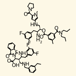 CCCN(CCC)C(=O)c1cc(C)cc(C(=O)O[C@H](CNc2cc(C(=O)N3CCCC3)n(C)c2)[C@@H](N)Cc2cc(F)cc(F)c2)c1.CCc1cccc(CNC[C@H](C(N)Cc2cc(F)cc(F)c2)[C@@H](C(=O)O)n2sc3ccccc3c2=O)c1